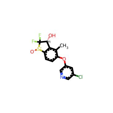 Cc1c(Oc2cncc(Cl)c2)ccc2c1[C@@H](O)C(F)(F)[S+]2[O-]